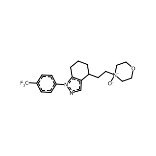 [O-][N+]1(CCC2CCCc3c2cnn3-c2ccc(C(F)(F)F)cc2)CCOCC1